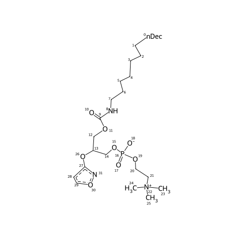 CCCCCCCCCCCCCCCCCNC(=O)OCC(COP(=O)([O-])OCC[N+](C)(C)C)Oc1ccon1